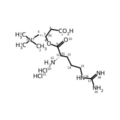 C[N+](C)(C)C[C@H](CC(=O)O)OC(=O)[C@@H](N)CCCNC(=N)N.Cl.Cl